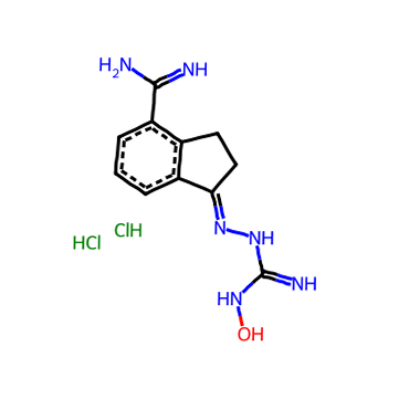 Cl.Cl.N=C(NO)NN=C1CCc2c(C(=N)N)cccc21